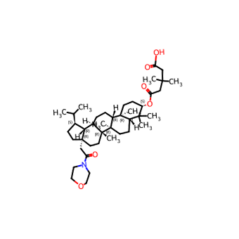 CC(C)[C@@H]1CC[C@]2(CC(=O)N3CCOCC3)CC[C@]3(C)[C@H](CC[C@@H]4[C@@]5(C)CC[C@H](OC(=O)CC(C)(C)CC(=O)O)C(C)(C)[C@@H]5CC[C@]43C)[C@@H]12